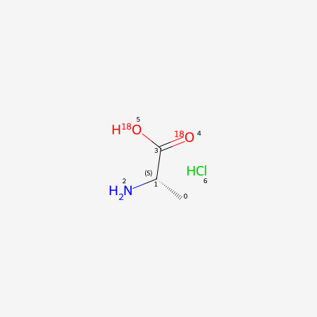 C[C@H](N)C(=[18O])[18OH].Cl